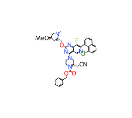 CO[C@@H]1C[C@@H](COc2nc(N3CCN(C(=O)OCc4ccccc4)[C@@H](CC#N)C3)c3cnc(-c4cccc5cccc(Cl)c45)c(F)c3n2)N(C)C1